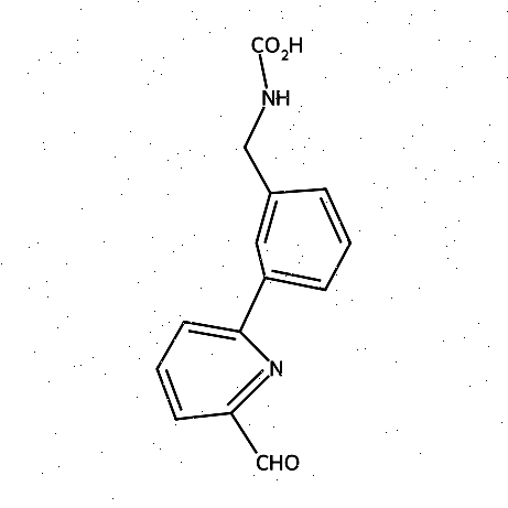 O=Cc1cccc(-c2cccc(CNC(=O)O)c2)n1